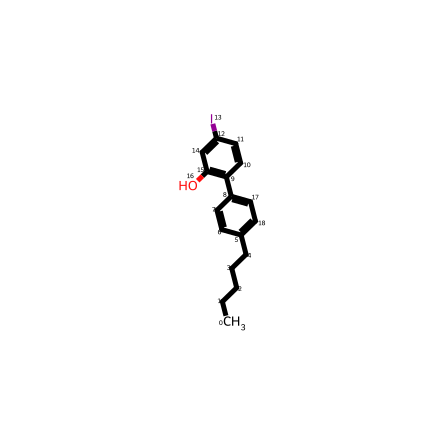 CCCCCc1ccc(-c2ccc(I)cc2O)cc1